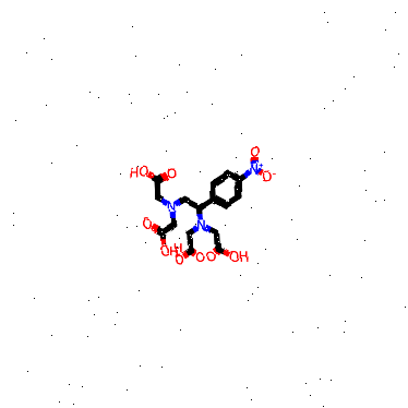 O=C(O)CN(CC(=O)O)CC(c1ccc([N+](=O)[O-])cc1)N(CC(=O)O)CC(=O)O